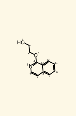 OCCOc1nccc2ccccc12